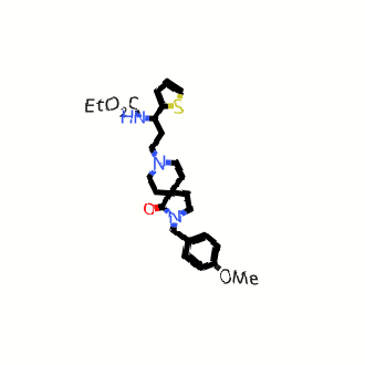 CCOC(=O)NC(CCN1CCC2(CC1)CCN(Cc1ccc(OC)cc1)C2=O)c1cccs1